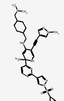 CN(C)CC1CCC(CNC2=CC(N)(c3ccnc(-c4cnn(S(=O)(=O)C5CC5)c4)n3)NC=C2C#Cc2cnn(C)c2)CC1